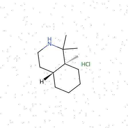 CC1(C)NCC[C@H]2CCCC[C@@]21C.Cl